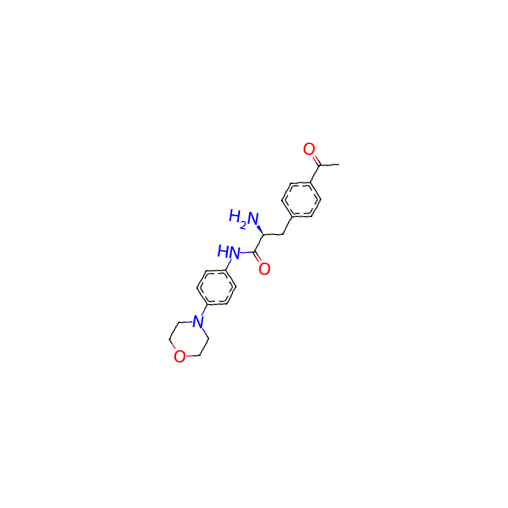 CC(=O)c1ccc(C[C@H](N)C(=O)Nc2ccc(N3CCOCC3)cc2)cc1